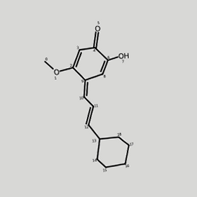 COC1=CC(=O)C(O)=C/C1=C\C=C\C1CCCCC1